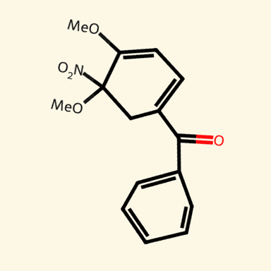 COC1=CC=C(C(=O)c2ccccc2)CC1(OC)[N+](=O)[O-]